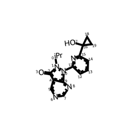 CC(C)n1c(=O)c2cncnc2n1-c1cccc(C2(O)CC2)n1